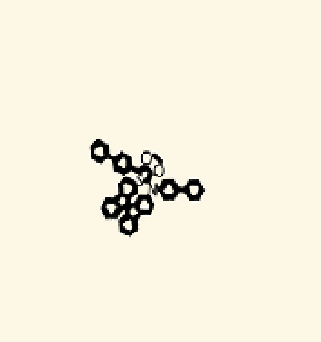 c1ccc(-c2ccc(-c3sc(N(c4ccc(-c5ccccc5)cc4)c4ccc5c(c4)C4(c6ccccc6-c6ccccc64)c4ccccc4-5)c4c3OCCO4)cc2)cc1